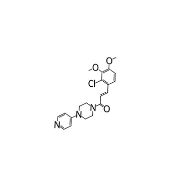 COc1ccc(C=CC(=O)N2CCN(c3ccncc3)CC2)c(Cl)c1OC